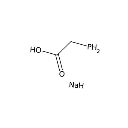 O=C(O)CP.[NaH]